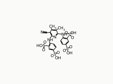 Cc1c(Nc2ccc(S(=O)(=O)O)cc2S(=O)(=O)O)nc(Nc2ccc(S(=O)(=O)O)cc2S(=O)(=O)O)c(C#N)c1C